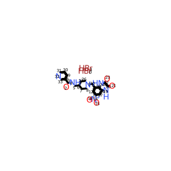 Br.Br.O=C(NCC1CCN(Cc2cc([N+](=O)[O-])cc3[nH]c(=O)c(=O)[nH]c23)CC1)c1cccnc1